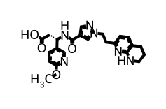 COc1ccc([C@H](CC(=O)O)NC(=O)c2cnn(CCc3ccc4c(n3)NCCC4)c2)cn1